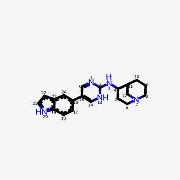 C1=NC(NC2CCN3CCCC2C3)NC=C1c1ccc2[nH]ccc2c1